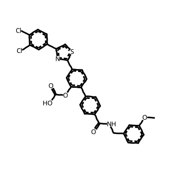 COc1cccc(CNC(=O)c2ccc(-c3ccc(-c4nc(-c5ccc(Cl)c(Cl)c5)cs4)cc3OC(=O)O)cc2)c1